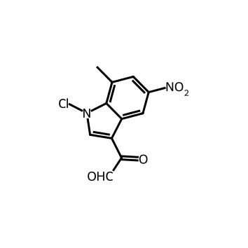 Cc1cc([N+](=O)[O-])cc2c(C(=O)C=O)cn(Cl)c12